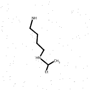 CCC(C)NCCCC[NH]